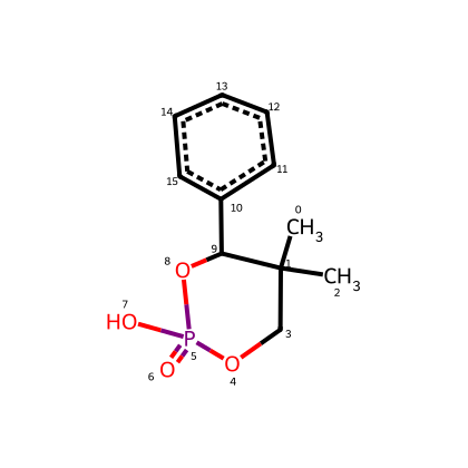 CC1(C)COP(=O)(O)OC1c1ccccc1